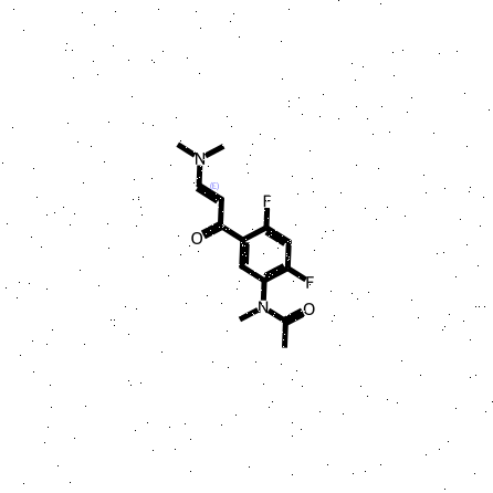 CC(=O)N(C)c1cc(C(=O)/C=C/N(C)C)c(F)cc1F